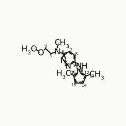 COCCN(C)c1ccc(Nn2c(C)ccc2C)nn1